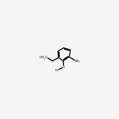 CCOc1c(CC(=O)O)cccc1C(C)(C)C